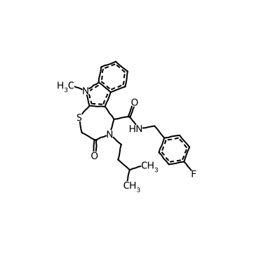 CC(C)CCN1C(=O)CSc2c(c3ccccc3n2C)C1C(=O)NCc1ccc(F)cc1